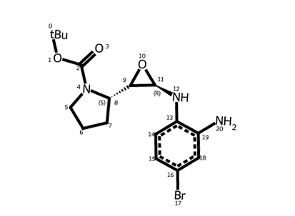 CC(C)(C)OC(=O)N1CCC[C@H]1C1O[C@H]1Nc1ccc(Br)cc1N